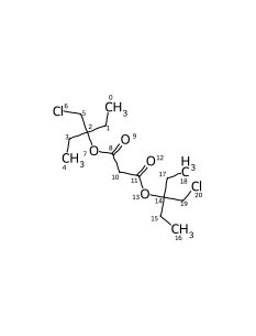 CCC(CC)(CCl)OC(=O)CC(=O)OC(CC)(CC)CCl